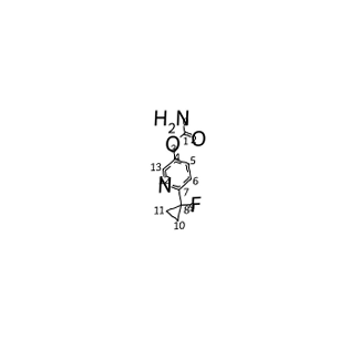 NC(=O)Oc1ccc(C2(F)CC2)nc1